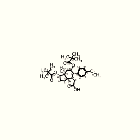 COc1ccc([C@@H]2[C@@H](CC(=O)O)[C@@H]3CC[C@H](OC(=O)C(C)(C)C)[C@@]3(C)C[C@H]2OC(=O)C(C)(C)C)cc1